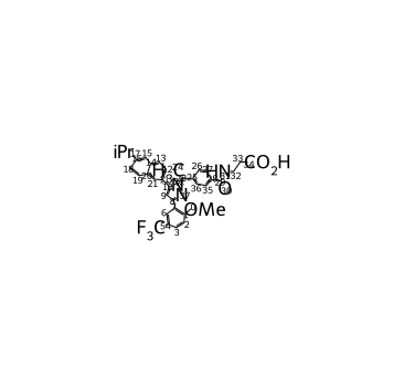 COc1ccc(C(F)(F)F)cc1-c1cc(-c2ccc3cc(C(C)C)ccc3c2)n([C@@H](C)c2ccc(C(=O)NCCC(=O)O)cc2)n1